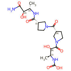 C[C@H](NC(=O)[C@H]1CCN(C(=O)[C@@H]2CCN(C(=O)[C@H](O)[C@H](C)NC(=O)O)C2)C1)[C@@H](O)C(N)=O